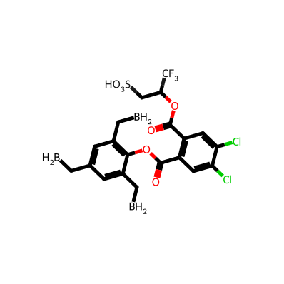 BCc1cc(CB)c(OC(=O)c2cc(Cl)c(Cl)cc2C(=O)OC(CS(=O)(=O)O)C(F)(F)F)c(CB)c1